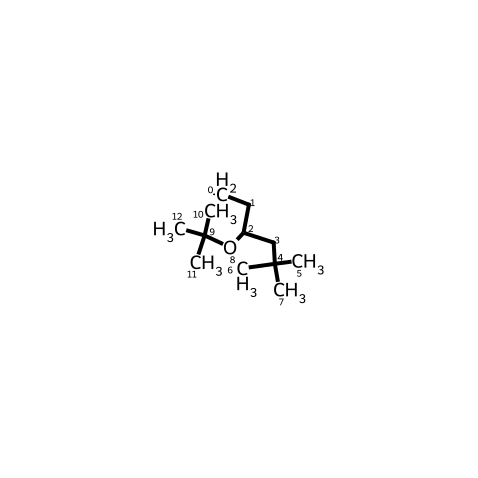 [CH2]CC(CC(C)(C)C)OC(C)(C)C